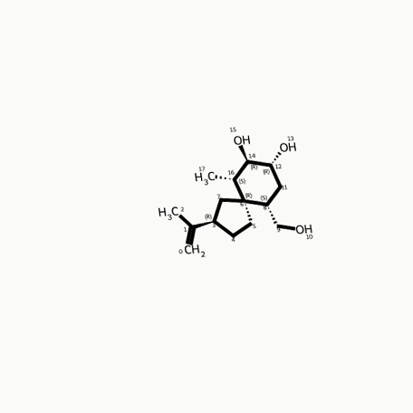 C=C(C)[C@@H]1CC[C@@]2(C1)[C@@H](CO)C[C@@H](O)[C@H](O)[C@H]2C